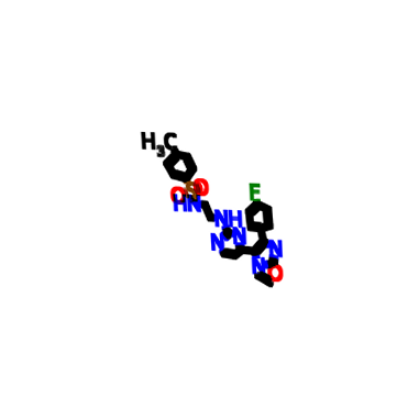 Cc1ccc(S(=O)(=O)NCCNc2nccc(-c3c(-c4ccc(F)cc4)nc4occn34)n2)cc1